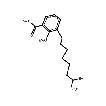 COC(=O)c1cccc(CCCCCCC(C(=O)O)C(C)C)c1OC